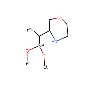 CCCC(C1COCCN1)[SiH](OCC)OCC